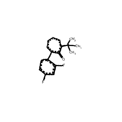 CC(C)(C)c1ccccc(-c2ccc(F)cc2F)c1=O